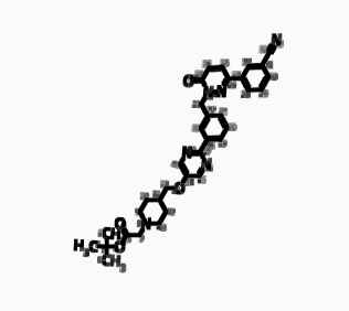 CC(C)(C)OC(=O)CN1CCC(COc2cnc(-c3cccc(Cn4nc(-c5cccc(C#N)c5)ccc4=O)c3)nc2)CC1